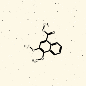 COC(=O)c1cc(OC)c(OC)c2ccccc12